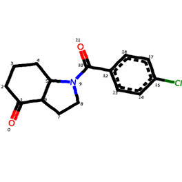 O=C1CCCC2C1CCN2C(=O)c1ccc(Cl)cc1